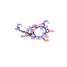 CC[C@H](C)[C@@H]1NC(=O)CNC(=O)[C@@H]2Cc3c([nH]c4c(CSCCCCn5cc(CN)[nH]5)c(OC)ccc34)[S+]([O-])C[C@H](NC(=O)CNC1=O)C(=O)NC(CC(N)=O)C(=O)N1C[C@H](O)CC1C(=O)NC([C@@H](C)C(O)CO)C(=O)N2